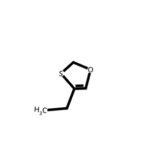 CCC1=COCS1